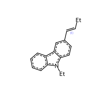 CC/C=C/c1ccc2c(c1)c1ccccc1n2CC